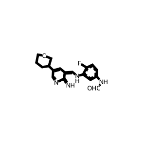 N=C1N=CC(C2CCCCC2)=C/C1=C/Nc1cc(NC=O)ccc1F